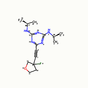 C[C@@H](Nc1nc(C#CC2(F)CCOC2)nc(N[C@H](C)C(F)(F)F)n1)C(F)(F)F